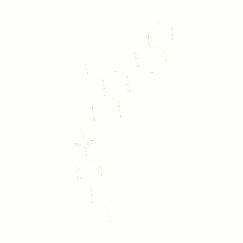 CC(C)c1cc(-c2ncc3ccccc3n2)cc(C(C)C)c1CC(=O)NS(=O)(=O)c1ccc(CN(C)C)cc1